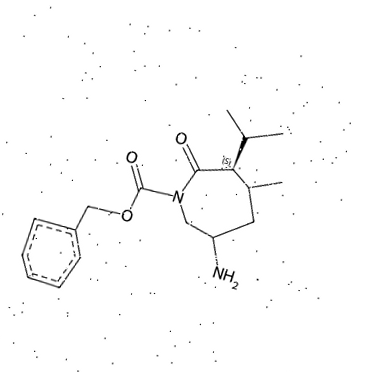 CC(C)[C@@H]1C(=O)N(C(=O)OCc2ccccc2)CC(N)CC1C